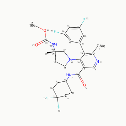 COc1ncc(C(=O)NC2CCC(F)(F)CC2)c(N2CC[C@](C)(NC(=O)OC(C)(C)C)C2)c1-c1cc(F)cc(F)c1